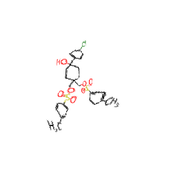 Cc1ccc(S(=O)(=O)OCC2(COS(=O)(=O)c3ccc(C)cc3)CCC(O)(c3ccc(Cl)cc3)CC2)cc1